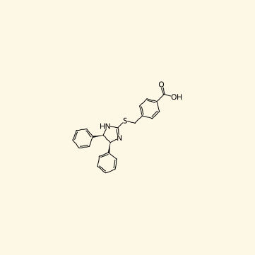 O=C(O)c1ccc(CSC2=N[C@@H](c3ccccc3)[C@@H](c3ccccc3)N2)cc1